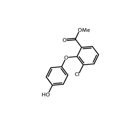 COC(=O)c1cccc(Cl)c1Oc1ccc(O)cc1